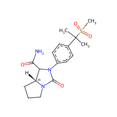 CC(C)(c1ccc(N2C(=O)N3CC[CH][C@@H]3C2C(N)=O)cc1)S(C)(=O)=O